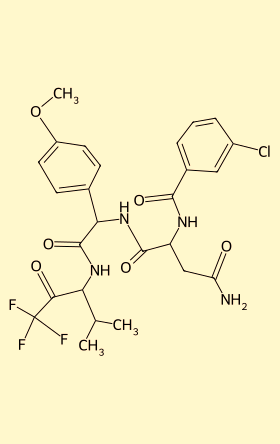 COc1ccc(C(NC(=O)C(CC(N)=O)NC(=O)c2cccc(Cl)c2)C(=O)NC(C(=O)C(F)(F)F)C(C)C)cc1